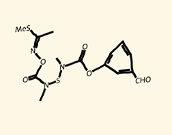 CSC(C)=NOC(=O)N(C)SN(C)C(=O)Oc1cccc(C=O)c1